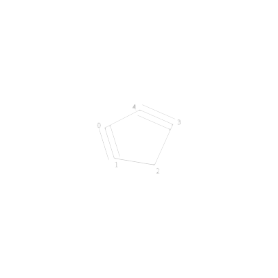 C1#CCC#C1